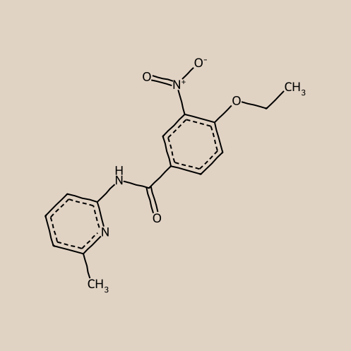 CCOc1ccc(C(=O)Nc2cccc(C)n2)cc1[N+](=O)[O-]